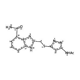 CC(=O)Nc1nnc(SCc2nc3c(C(N)=O)cccc3[nH]2)s1